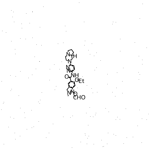 CCOc1cc2c(cc1C(=O)Nc1ccc(N3CCN4CCC[C@@H]4C3)nn1)CN(C)N2OC=O